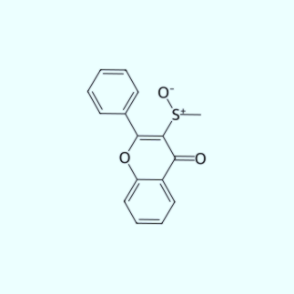 C[S+]([O-])c1c(-c2ccccc2)oc2ccccc2c1=O